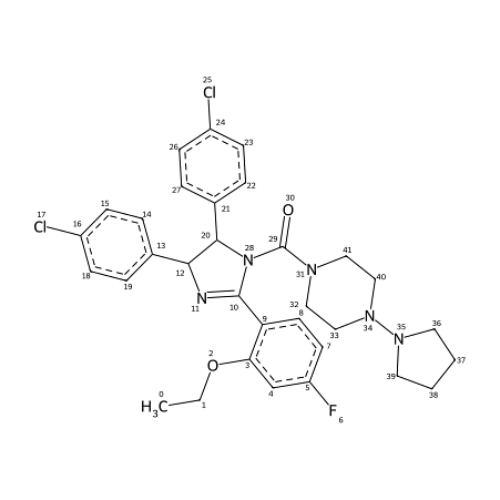 CCOc1cc(F)ccc1C1=NC(c2ccc(Cl)cc2)C(c2ccc(Cl)cc2)N1C(=O)N1CCN(N2CCCC2)CC1